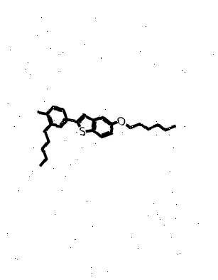 CCCCCCOc1ccc2sc(-c3ccc(C)c(CCCCC)c3)cc2c1